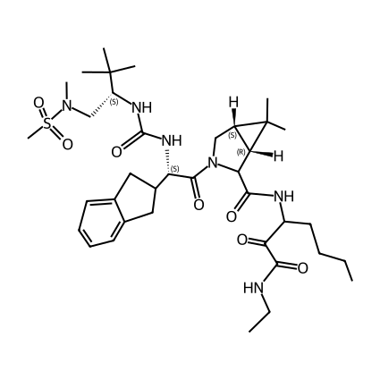 CCCCC(NC(=O)C1[C@@H]2[C@H](CN1C(=O)[C@@H](NC(=O)N[C@H](CN(C)S(C)(=O)=O)C(C)(C)C)C1Cc3ccccc3C1)C2(C)C)C(=O)C(=O)NCC